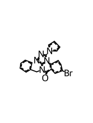 O=c1c2cc(Br)ccc2n2c(-n3cccc3)nnc2n1Cc1ccccc1